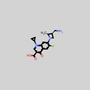 C[C@@H]1[C@@H](CN)CN1c1cc2c(cc1F)c(=O)c(C(=O)O)cn2C1CC1